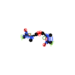 COCCN1C[C@@H](NC(=O)Nc2c(Cl)c(CCc3ccc(OC(=O)Oc4ccc(CCc5nn(-c6ccccc6)c(NC(=O)N[C@@H]6CN(CCOC)C[C@H]6c6ccc(F)c(F)c6)c5Cl)cc4)cc3)nn2-c2ccccc2)[C@H](c2ccc(F)c(F)c2)C1